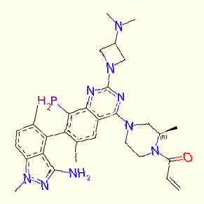 C=CC(=O)N1CCN(c2nc(N3CC(N(C)C)C3)nc3c(P)c(-c4c(C)ccc5c4c(N)nn5C)c(C)cc23)C[C@H]1C